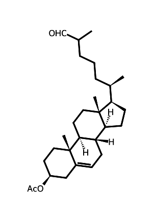 CC(=O)O[C@H]1CC[C@@]2(C)C(=CC[C@H]3[C@@H]4CC[C@H]([C@H](C)CCCC(C)C=O)[C@@]4(C)CC[C@@H]32)C1